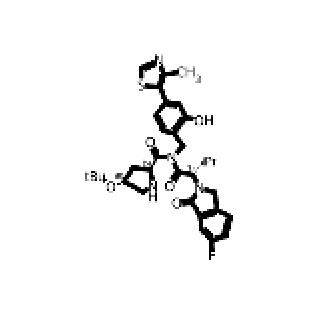 Cc1ncsc1-c1ccc(CN(C(=O)[C@@H]2C[C@@H](OC(C)(C)C)CN2)C(=O)[C@H](C(C)C)N2Cc3ccc(F)cc3C2=O)c(O)c1